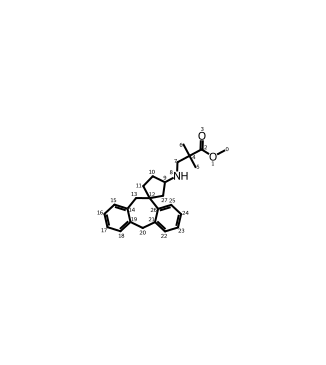 COC(=O)C(C)(C)CNC1CCC2(Cc3ccccc3Cc3ccccc32)C1